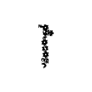 CCC(C)n1ncn(-c2ccc(N3CCN(c4ccc(OC[C@@H]5CO[C@@](Cn6cccn6)(c6cccc(C#N)c6)O5)cc4)CC3)cc2)c1=O